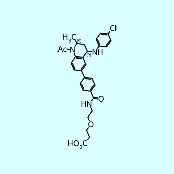 CC(=O)N1c2ccc(-c3ccc(C(=O)NCCOCCC(=O)O)cc3)cc2[C@H](Nc2ccc(Cl)cc2)C[C@@H]1C